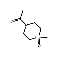 CC(=O)N1CC[SH](C)(=O)CC1